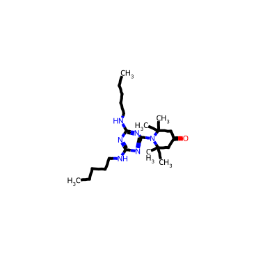 CCCCCNc1nc(NCCCCC)nc(N2C(C)(C)CC(=O)CC2(C)C)n1